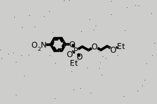 CCOCCOCCP(=O)(OCC)Oc1ccc([N+](=O)[O-])cc1